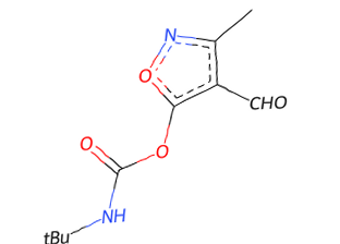 Cc1noc(OC(=O)NC(C)(C)C)c1C=O